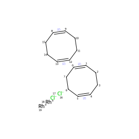 C1=C\CC/C=C\CC/1.C1=C\CC/C=C\CC/1.[Cl-].[Cl-].[Rh+].[Rh+]